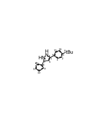 CC(C)(C)c1ccc(C2=CC(c3cccs3)NN2)cc1